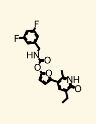 CCc1cc(-c2ccc(OC(=O)NCc3cc(F)cc(F)c3)o2)c(C)[nH]c1=O